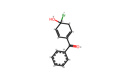 O=C(C1=CCC(O)(Br)C=C1)c1ccccc1